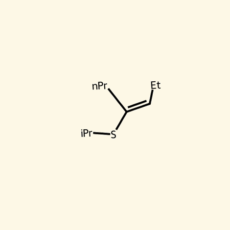 CC/C=C(\CCC)SC(C)C